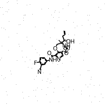 C=CC[C@@H](O)[C@@]1(C)COc2c(cn(C)c2C(=O)Nc2ccc(F)c(C#N)c2)S(=O)(=O)N1